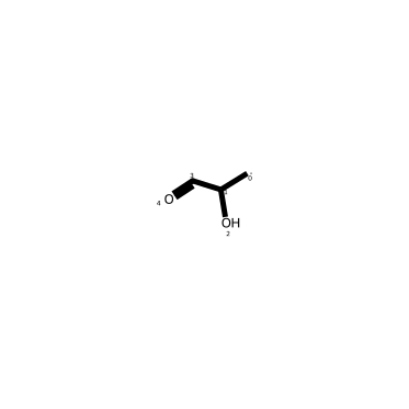 [CH2]C(O)C=O